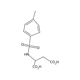 Cc1ccc(S(=O)(=O)NC(CC(=O)O)C(=O)O)cc1